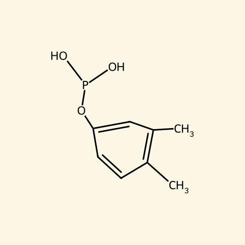 Cc1ccc(OP(O)O)cc1C